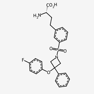 N[C@@H](CCc1cccc(S(=O)(=O)N2CC(Oc3ccc(F)cc3)(c3ccccc3)C2)c1)C(=O)O